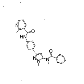 Cc1ncccc1C(=O)Nc1ccc(-c2cc(N(C)C(=O)c3ccccc3)n(C)n2)cc1